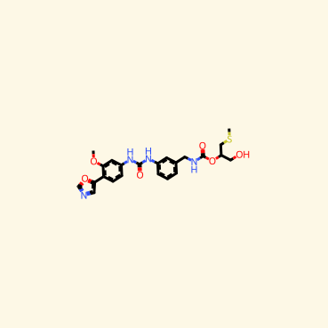 COc1cc(NC(=O)Nc2cccc(CNC(=O)OC(CO)CSC)c2)ccc1-c1cnco1